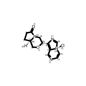 O=C1CC[C@@H]2CO[C@@H](C3=C4C=NC=C[N+]4(Cl)C=N3)CN12